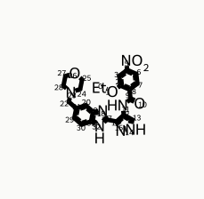 CCOc1cc([N+](=O)[O-])ccc1C(=O)Nc1c[nH]nc1-c1nc2cc(CN3CCOCC3)ccc2[nH]1